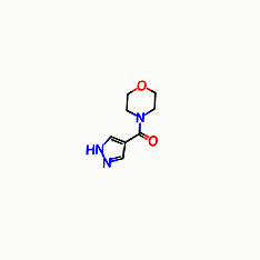 O=C(c1cn[nH]c1)N1CCOCC1